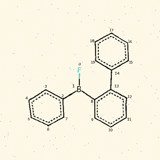 FB(c1ccccc1)c1ccccc1-c1ccccc1